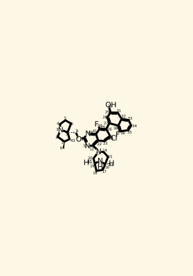 C[C@H]1CN2CCC[C@@]2(COc2nc(N3CC[C@H]4CC[C@@H](C3)N4)c3cc(Cl)c(-c4cc(O)cc5cccc(F)c45)c(F)c3n2)C1